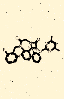 Cc1cc(C)nc(O[C@@H]2C(=O)N3CC(=O)N(Cc4c(F)cccc4F)c4ccccc4[C@@]23c2ccccc2)n1